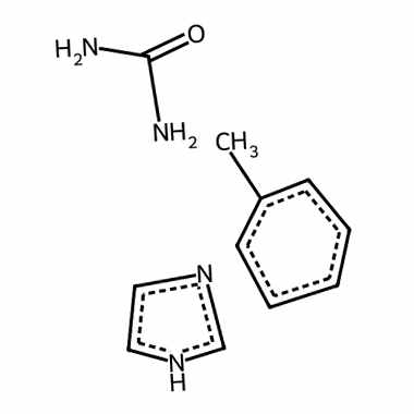 Cc1ccccc1.NC(N)=O.c1c[nH]cn1